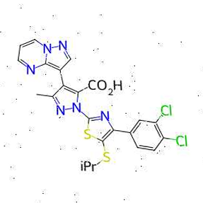 Cc1nn(-c2nc(-c3ccc(Cl)c(Cl)c3)c(SC(C)C)s2)c(C(=O)O)c1-c1cnn2cccnc12